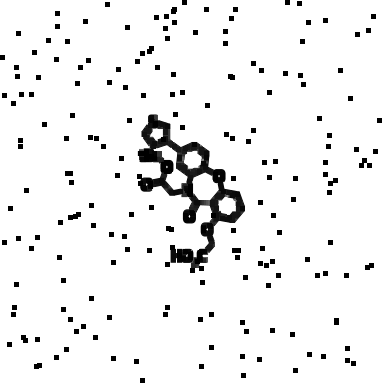 CC(C)(C)OC(=O)CN1C(=O)c2c(OCC(=O)O)cccc2Oc2ccc(-c3ccsc3)cc21